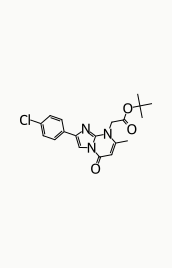 Cc1cc(=O)n2cc(-c3ccc(Cl)cc3)nc2n1CC(=O)OC(C)(C)C